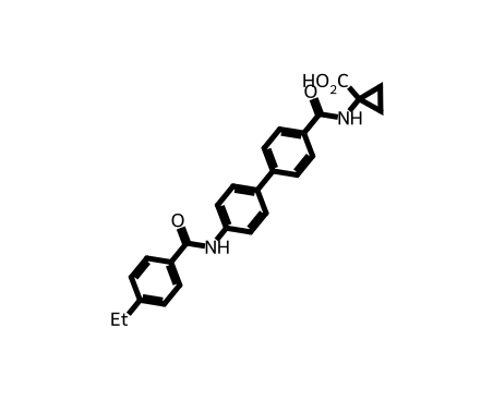 CCc1ccc(C(=O)Nc2ccc(-c3ccc(C(=O)NC4(C(=O)O)CC4)cc3)cc2)cc1